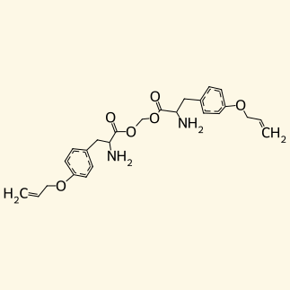 C=CCOc1ccc(CC(N)C(=O)OCOC(=O)C(N)Cc2ccc(OCC=C)cc2)cc1